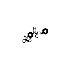 CN1C(=O)CSc2cc(NC(=O)OCc3ccccc3)ccc21